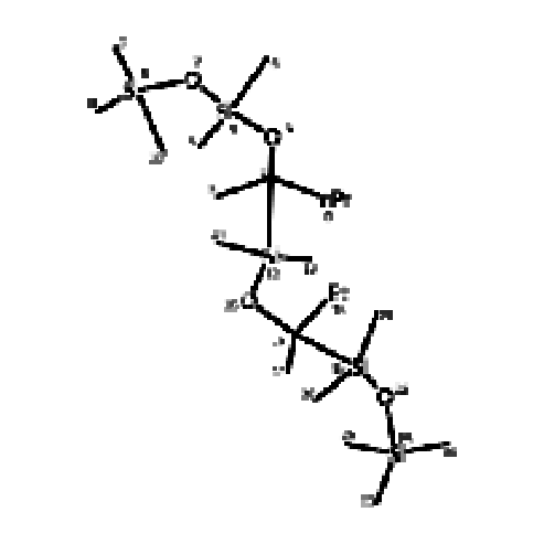 CCCC(C)(O[Si](C)(C)O[Si](C)(C)C)[Si](C)(C)OC(C)(CC)[Si](C)(C)O[Si](C)(C)C